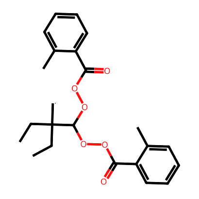 [CH2]C(CC)(CC)[C](OOC(=O)c1ccccc1C)OOC(=O)c1ccccc1C